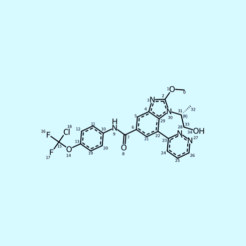 COc1nc2cc(C(=O)Nc3ccc(OC(F)(F)Cl)cc3)cc(-c3cccnn3)c2n1[C@H](C)CO